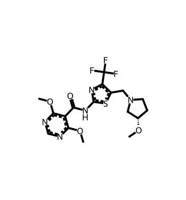 COc1ncnc(OC)c1C(=O)Nc1nc(C(F)(F)F)c(CN2CC[C@H](OC)C2)s1